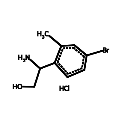 Cc1cc(Br)ccc1C(N)CO.Cl